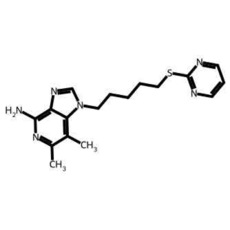 Cc1nc(N)c2ncn(CCCCCSc3ncccn3)c2c1C